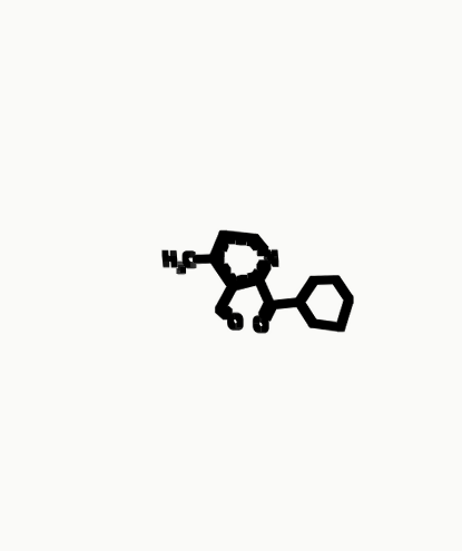 Cc1ccnc(C(=O)C2CCCCC2)c1C=O